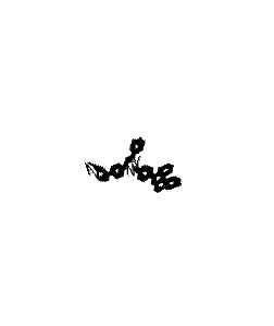 c1ccc(-c2cc(-c3ccc(-c4ccncc4)cc3)nc(-c3ccc(-c4cc5ccc6ccccc6c5c5ccccc45)cc3)n2)cc1